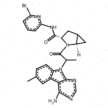 Cc1ccc2c(c1)c1c(N)ncnc1n2C(C)C(=O)N1[C@@H]2CC2C[C@H]1C(=O)Nc1cccc(Br)n1